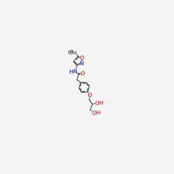 CC(C)(C)c1cc(NC(=O)Cc2ccc(OCC(O)CO)cc2)no1